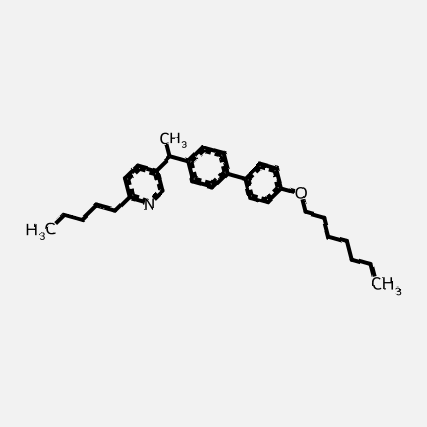 CCCCCCCOc1ccc(-c2ccc(C(C)c3ccc(CCCCC)nc3)cc2)cc1